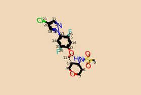 CS(=O)(=O)N[C@H]1CCOC[C@@H]1COc1cc(F)c(-n2cc(Cl)cn2)cc1F